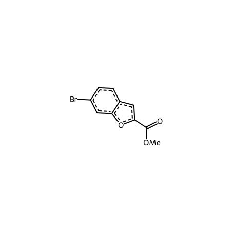 COC(=O)c1cc2ccc(Br)cc2o1